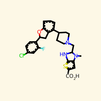 CN1c2cc(C(=O)O)sc2NC1CN1CCC(c2cccc3c2CC(c2ccc(Cl)cc2F)O3)CC1